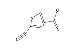 N#Cc1cc(C(=O)Cl)cs1